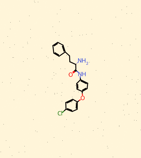 N[C@@H](CCc1ccccc1)C(=O)Nc1ccc(Oc2ccc(Cl)cc2)cc1